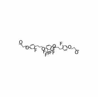 Fc1cc(OCCC2CO2)ccc1CCCOc1ccc(OCCCc2ccc(OCCC3CO3)cc2F)c(C(F)(F)F)c1C(F)(F)F